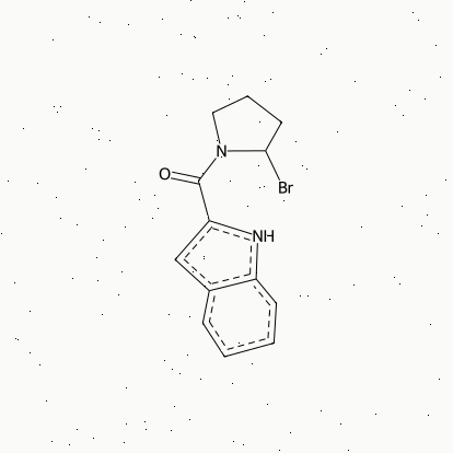 O=C(c1cc2ccccc2[nH]1)N1CCCC1Br